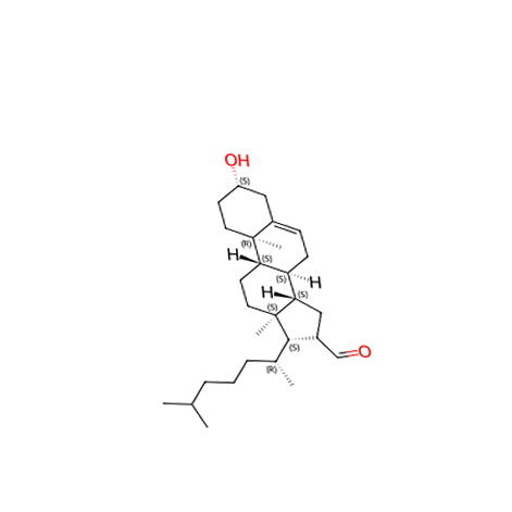 CC(C)CCC[C@@H](C)[C@H]1C(C=O)C[C@H]2[C@@H]3CC=C4C[C@@H](O)CC[C@]4(C)[C@H]3CC[C@]12C